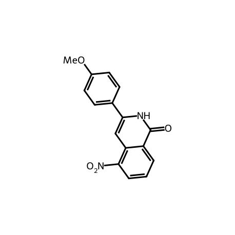 COc1ccc(-c2cc3c([N+](=O)[O-])cccc3c(=O)[nH]2)cc1